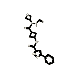 O=CNN(C(=O)C1CC(NC(=O)c2cc(-c3ccccc3)on2)C1)C1COC1